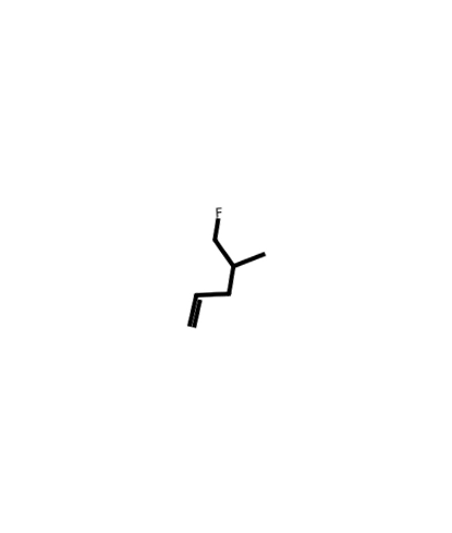 [CH]=CCC(C)CF